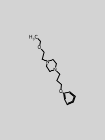 CCOCCN1CCN(CCCOC2=CC=C=C=C2)CC1